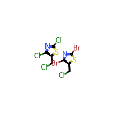 ClCc1sc(Br)nc1Br.ClCc1sc(Cl)nc1Cl